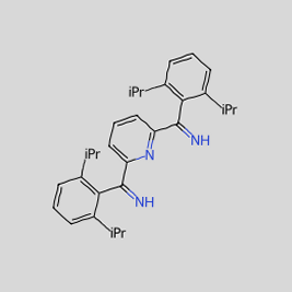 CC(C)c1cccc(C(C)C)c1C(=N)c1cccc(C(=N)c2c(C(C)C)cccc2C(C)C)n1